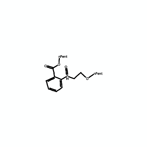 CCCCCOCC[PH](=O)c1ccccc1C(=O)OCCCCC